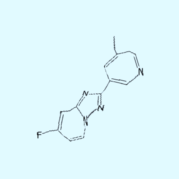 Cc1cncc(-c2nc3cc(F)ccn3n2)c1